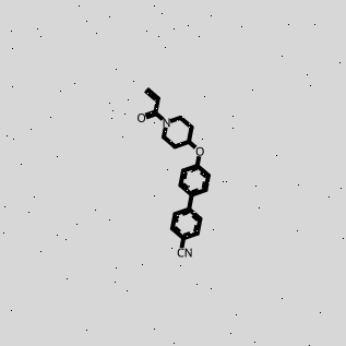 C=CC(=O)N1CCC(Oc2ccc(-c3ccc(C#N)cc3)cc2)CC1